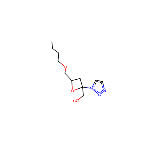 CCCCOCC1CC(CO)(n2ccnn2)O1